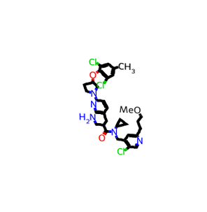 COCCCc1cc(CN(C(=O)C(CN)Cc2ccc(N3CCC(Oc4c(Cl)cc(C)cc4Cl)C3)nc2)C2CC2)c(Cl)cn1